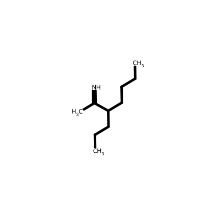 CCCCC(CCC)C(C)=N